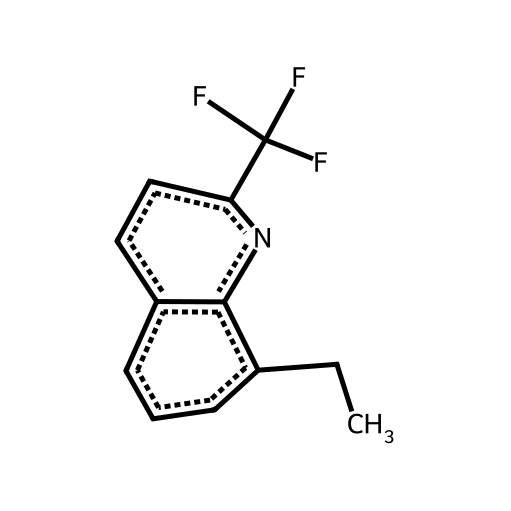 CCc1cccc2ccc(C(F)(F)F)nc12